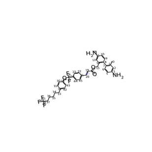 [CH2]c1cc(N)ccc1-c1ccc(N)cc1COC(=O)/C=C/c1ccc(C(F)(F)Oc2ccc(CCCCCC(F)(F)F)cc2)cc1